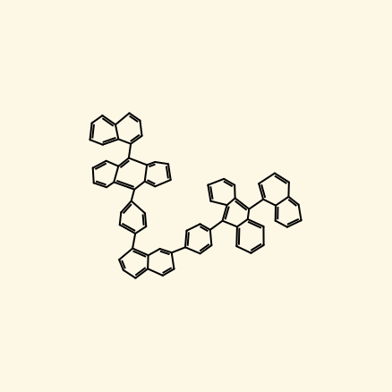 c1cc(-c2ccc(-c3c4ccccc4c(-c4cccc5ccccc45)c4ccccc34)cc2)c2cc(-c3ccc(-c4c5ccccc5c(-c5cccc6ccccc56)c5ccccc45)cc3)ccc2c1